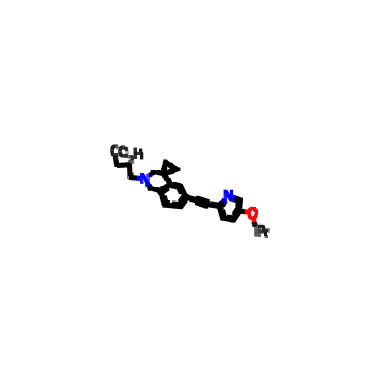 CC(C)Oc1ccc(C#Cc2ccc3c(c2)C2(CC2)CN(CCCC(=O)O)C3)nc1